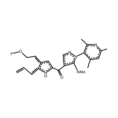 C=C/C=c1/[nH]c(C(=O)c2cnn(-c3c(C)cc(C)nc3C)c2NC)c/c1=C/COF